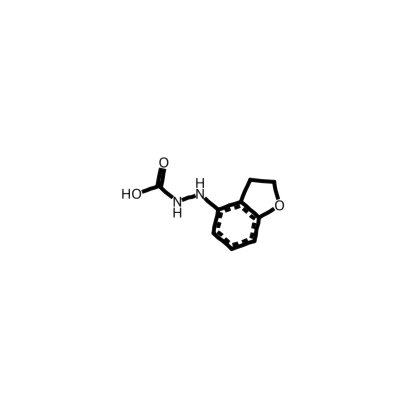 O=C(O)NNc1cccc2c1CCO2